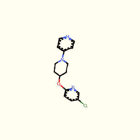 Clc1ccc(OC2CCN(c3ccncc3)CC2)nc1